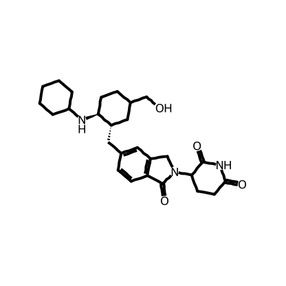 O=C1CCC(N2Cc3cc(C[C@H]4CC(CO)CC[C@@H]4NC4CCCCC4)ccc3C2=O)C(=O)N1